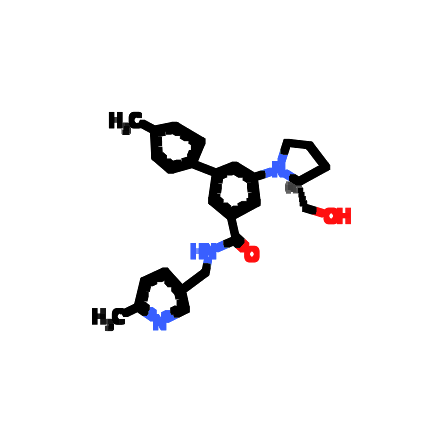 Cc1ccc(-c2cc(C(=O)NCc3ccc(C)nc3)cc(N3CCC[C@@H]3CO)c2)cc1